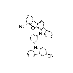 N#Cc1ccc2c(c1)c1ccccc1n2-c1cccc(-n2c3ccccc3c3ccc4c5cccc(C#N)c5oc4c32)c1